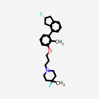 Cc1c(OCCCN2CCC(C)(F)CC2)cccc1-c1cccc2c1C[C@H](F)C2